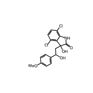 COc1ccc(C(O)CC2(O)C(=O)Nc3c(Cl)ccc(Cl)c32)cc1